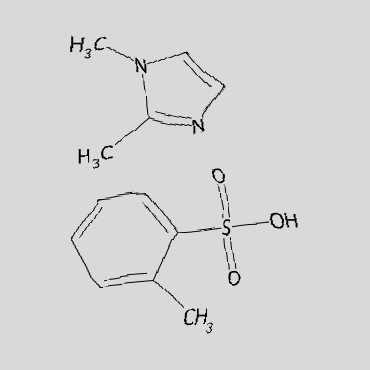 Cc1ccccc1S(=O)(=O)O.Cc1nccn1C